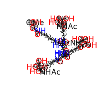 COC[C@H]1O[C@H](CNC(=O)CCCCCCCCCCC(=O)NC(CCC(=O)NC(CCC(=O)NCCCCCCOC2OC(CO)C(O)C(O)C2NC(C)=O)C(=O)NCCCCCCOC2OC(CO)C(O)C(O)C2NC(C)=O)C(=O)NCCCCCCOC2OC(CO)C(O)C(O)C2NC(C)=O)C[C@@H]1O